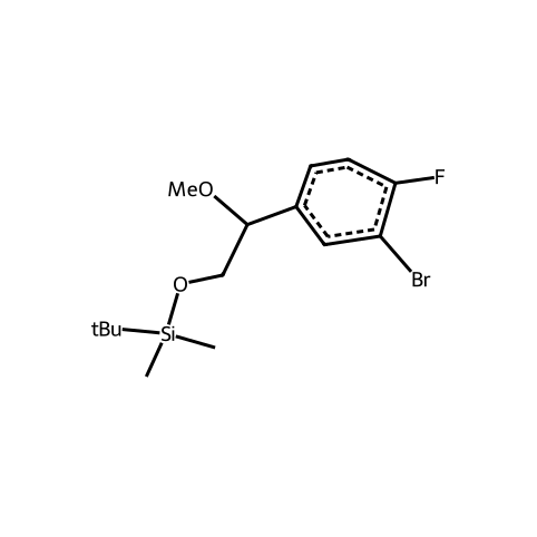 COC(CO[Si](C)(C)C(C)(C)C)c1ccc(F)c(Br)c1